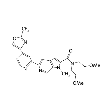 COCCN(CCOC)C(=O)c1cc2cc(-c3cc(-c4noc(C(F)(F)F)n4)ccn3)ncc2n1C